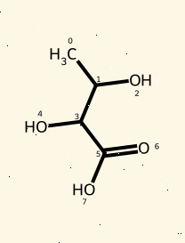 CC(O)[C](O)C(=O)O